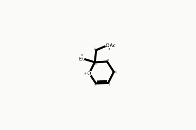 CCC1(COC(C)=O)CCC=CO1